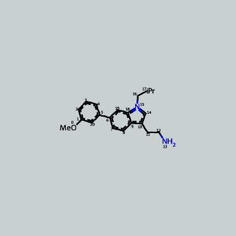 COc1cccc(-c2ccc3c(CCN)cn(CC(C)C)c3c2)c1